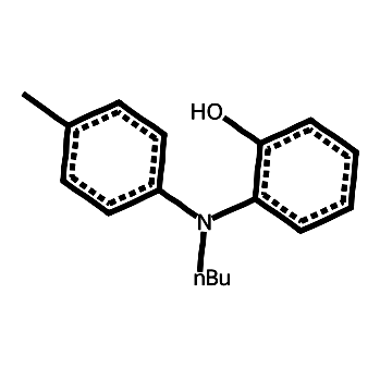 CCCCN(c1ccc(C)cc1)c1ccccc1O